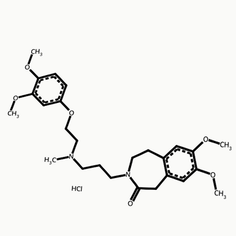 COc1ccc(OCCN(C)CCCN2CCc3cc(OC)c(OC)cc3CC2=O)cc1OC.Cl